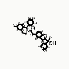 Cc1ccc2c(c1)CCN(C(=O)Cc1ccc3oc(C(C)(O)c4ccncc4)cc3c1)C2c1ccccc1